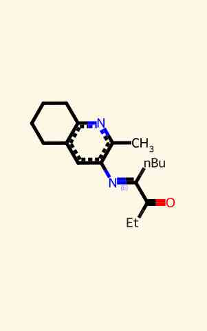 CCCC/C(=N\c1cc2c(nc1C)CCCC2)C(=O)CC